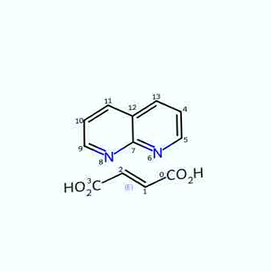 O=C(O)/C=C/C(=O)O.c1cnc2ncccc2c1